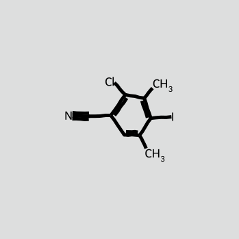 Cc1cc(C#N)c(Cl)c(C)c1I